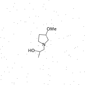 COC1CCN(CC(C)O)C1